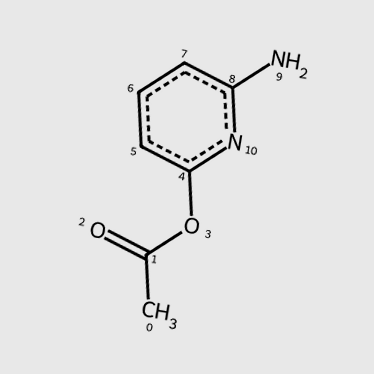 CC(=O)Oc1cccc(N)n1